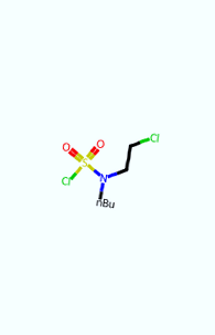 CCCCN(CCCl)S(=O)(=O)Cl